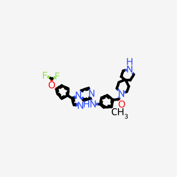 Cc1cc(Nc2nccn3c(-c4ccc(OC(F)F)cc4)cnc23)ccc1C(=O)N1CCC2(CCNCC2)CC1